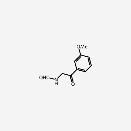 COc1cccc(C(=O)CNC=O)c1